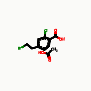 CC(=O)O.O=C(O)c1ccc(CCBr)cc1Cl